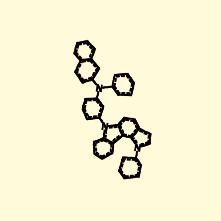 c1ccc(N(c2cccc(-n3c4ccccc4c4c5c(ccc43)ccn5-c3ccccc3)c2)c2ccc3ccccc3c2)cc1